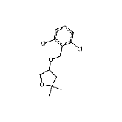 CC1(C)CC(OCc2c(Cl)cccc2Cl)CO1